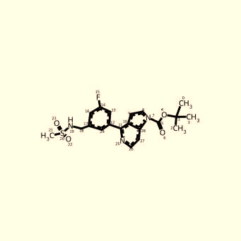 CC(C)(C)OC(=O)n1ccc2c(-c3cc(F)cc(CNS(C)(=O)=O)c3)nccc21